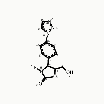 O=C1OC(CO)C(c2ccc(-n3ccnn3)cc2)N1F